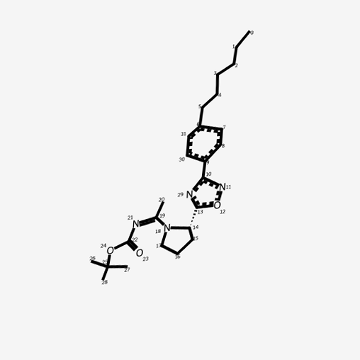 CCCCCCc1ccc(-c2noc([C@@H]3CCCN3/C(C)=N\C(=O)OC(C)(C)C)n2)cc1